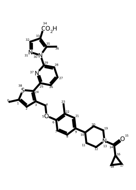 Cc1cc(COc2ccc(C3CCN(C(=O)C4CC4)CC3)cc2C)c(-c2cccc(-n3ncc(C(=O)O)c3C)n2)s1